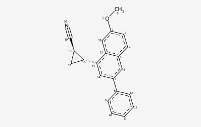 COc1ccc2cc(-c3ccccc3)cc([C@@H]3C[C@H]3C#N)c2c1